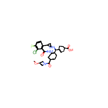 COC1CN(C(=O)C2CCC(C(=N)C3=CCC(C(=O)O)CC3)=C(NC(=O)c3c(C4CC4)ccc(F)c3Cl)C2)C1